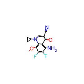 COc1c(F)c(F)c(N)c2c(=O)c(C#N)cn(C3CC3)c12